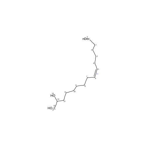 CCCCCCCCCCCCCC/C=C\CCCCCCC(O)C(=O)O